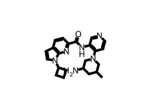 CC1CC(N)CN(c2ccncc2NC(=O)c2ccc3ccn(C4CCC4)c3n2)C1